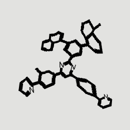 CC1CC(c2cc(-c3ccc(-c4ccccn4)cc3)nc(-c3cc(-c4cccc5c4C=CCC5C)cc(-c4cccc5ccccc45)c3)n2)=CC=C1c1ccccn1